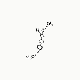 CCCCOc1ccc(C2CCC(c3ccc(CCCC)cc3)CC2)cc1C#N